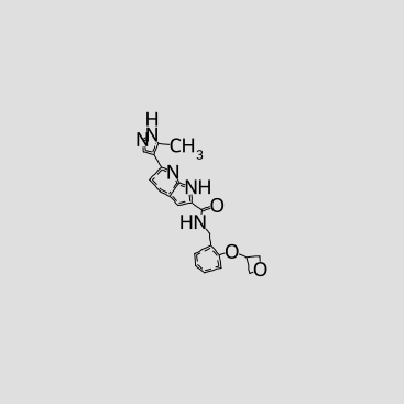 Cc1[nH]ncc1-c1ccc2cc(C(=O)NCc3ccccc3OC3COC3)[nH]c2n1